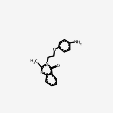 Cc1nc2ccccc2c(=O)n1CCOc1ccc(N)cc1